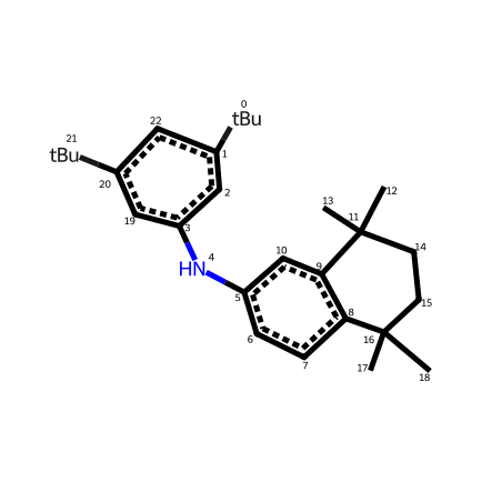 CC(C)(C)c1cc(Nc2ccc3c(c2)C(C)(C)CCC3(C)C)cc(C(C)(C)C)c1